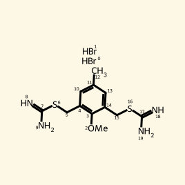 Br.Br.COc1c(CSC(=N)N)cc(C)cc1CSC(=N)N